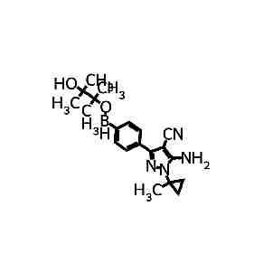 CC1(n2nc(-c3ccc(BOC(C)(C)C(C)(C)O)cc3)c(C#N)c2N)CC1